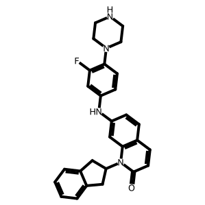 O=c1ccc2ccc(Nc3ccc(N4CCNCC4)c(F)c3)cc2n1C1Cc2ccccc2C1